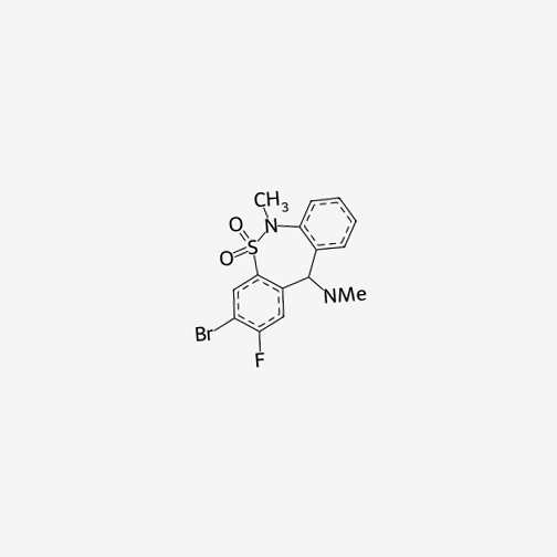 CNC1c2ccccc2N(C)S(=O)(=O)c2cc(Br)c(F)cc21